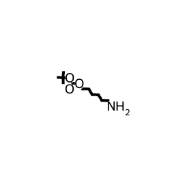 CC(C)(C)OC(=O)OCCCCCCN